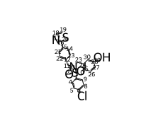 O=S(=O)(c1ccc(Cl)cc1)N(Cc1ccc(-c2nccs2)cc1)Cc1cccc(O)c1